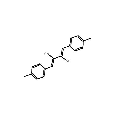 [C-]#[N+]C(=C\c1ccc(C)cc1)/C(=C/c1ccc(C)cc1)[N+]#[C-]